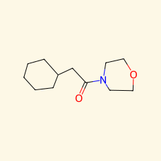 O=C(CC1CCCCC1)N1CCOCC1